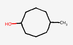 CC1CCCC(O)CCC1